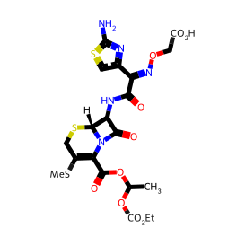 CCOC(=O)OC(C)OC(=O)C1=C(SC)CS[C@@H]2C(NC(=O)/C(=N/OCC(=O)O)c3csc(N)n3)C(=O)N12